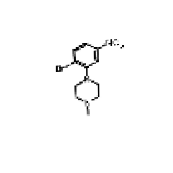 CN1CCN(c2cc([N+](=O)[O-])ccc2Br)CC1